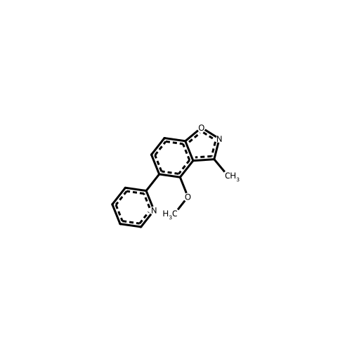 COc1c(-c2ccccn2)ccc2onc(C)c12